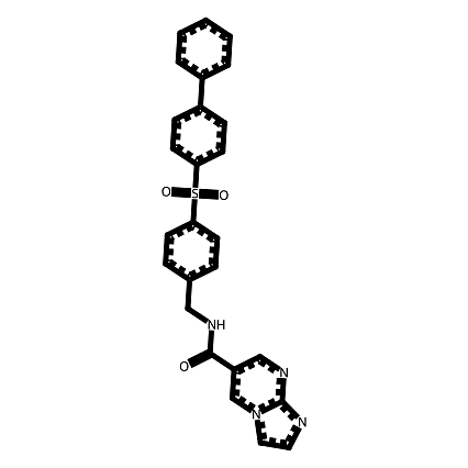 O=C(NCc1ccc(S(=O)(=O)c2ccc(-c3ccccc3)cc2)cc1)c1cnc2nccn2c1